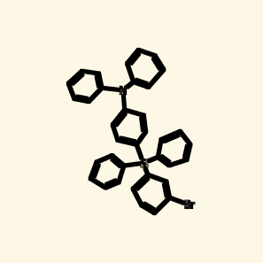 Brc1cccc([Si](c2ccccc2)(c2ccccc2)c2ccc(N(c3ccccc3)c3ccccc3)cc2)c1